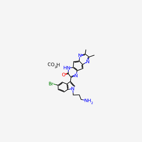 CC(=O)O.Cc1nc2cc3nc(-c4cn(CCCN)c5ccc(Br)cc45)c(=O)[nH]c3cc2nc1C